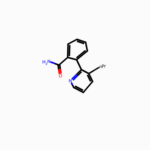 CCCc1cccnc1-c1ccccc1C(N)=O